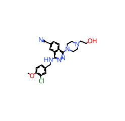 COc1ccc(CNc2nnc(N3CCN(CCO)CC3)c3ccc(C#N)cc23)cc1Cl